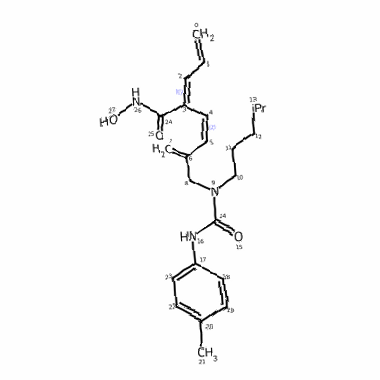 C=C/C=C(\C=C/C(=C)CN(CCCC(C)C)C(=O)Nc1ccc(C)cc1)C(=O)NO